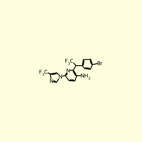 Nc1ccc(-n2cnc(C(F)(F)F)c2)nc1C(c1ccc(Br)cc1)C(F)(F)F